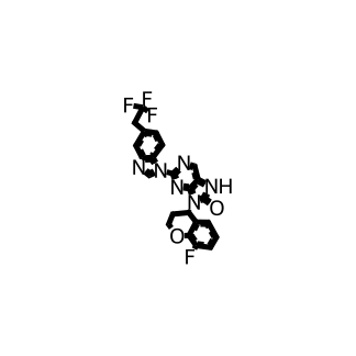 O=c1[nH]c2cnc(-n3cnc4cc(CC(F)(F)F)ccc43)nc2n1[C@@H]1CCOc2c(F)cccc21